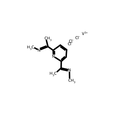 CN=C(C)c1cccc(C(C)=NC)n1.[Cl-].[Cl-].[Cl-].[V+3]